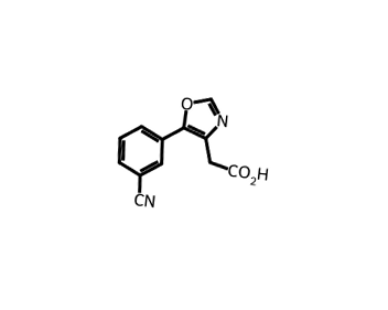 N#Cc1cccc(-c2ocnc2CC(=O)O)c1